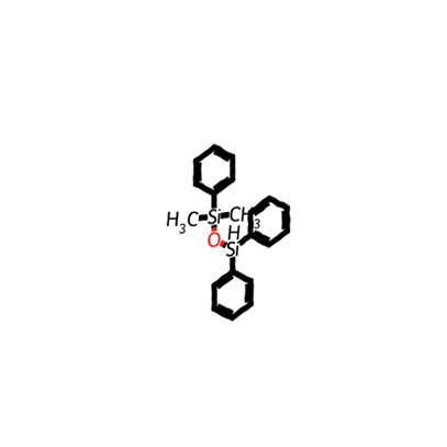 C[Si](C)(O[SiH](c1ccccc1)c1ccccc1)c1ccccc1